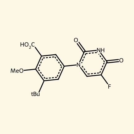 COc1c(C(=O)O)cc(-n2cc(F)c(=O)[nH]c2=O)cc1C(C)(C)C